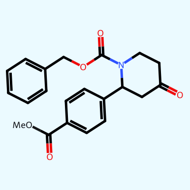 COC(=O)c1ccc(C2CC(=O)CCN2C(=O)OCc2ccccc2)cc1